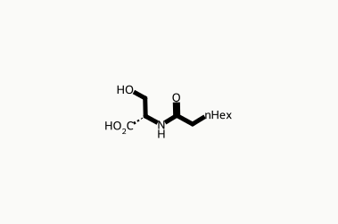 CCCCCCCC(=O)N[C@@H](CO)C(=O)O